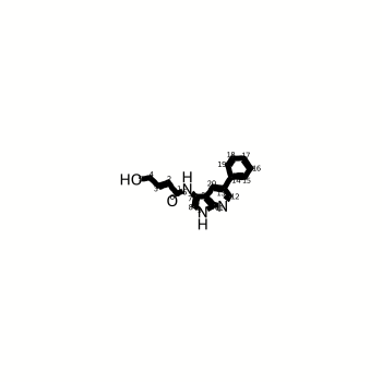 O=C(C=CCO)Nc1c[nH]c2ncc(-c3ccccc3)cc12